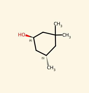 C[C@@H]1C[C@@H](O)CC(C)(C)C1